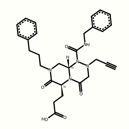 C#CCN1CC(=O)N2[C@@H](CCC(=O)O)C(=O)N(CCCc3ccccc3)C[C@@H]2N1C(=O)NCc1ccccc1